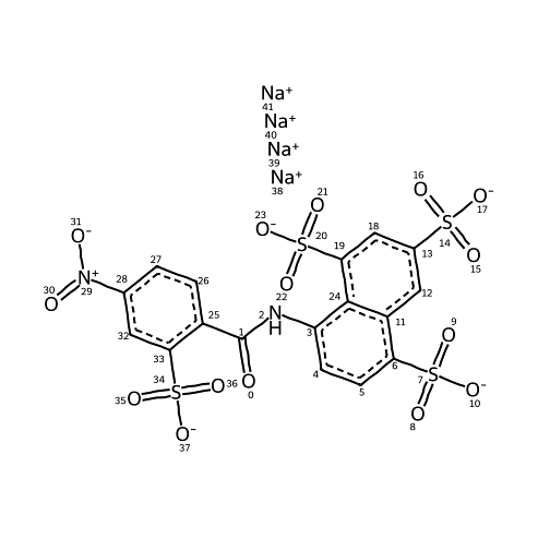 O=C(Nc1ccc(S(=O)(=O)[O-])c2cc(S(=O)(=O)[O-])cc(S(=O)(=O)[O-])c12)c1ccc([N+](=O)[O-])cc1S(=O)(=O)[O-].[Na+].[Na+].[Na+].[Na+]